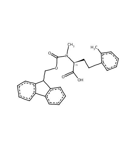 Cc1ccccc1CC[C@@H](C(=O)O)N(C)C(=O)OCC1c2ccccc2-c2ccccc21